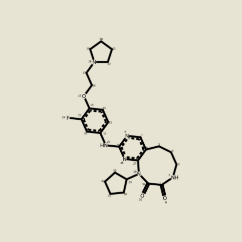 O=C1NCCCc2cnc(Nc3ccc(OCCN4CCCC4)c(F)c3)nc2N(C2CCCC2)C1=O